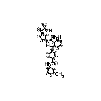 Cc1ccnc(NC(=O)c2ccc(Oc3ccnc4[nH]nc(N[C@@H]5CCN(C(=O)C6(C#N)CC6)C5)c34)cc2)c1